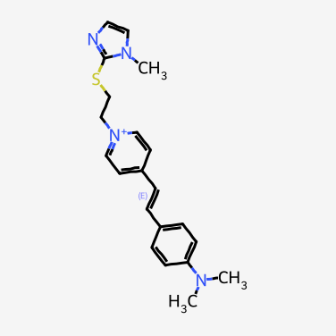 CN(C)c1ccc(/C=C/c2cc[n+](CCSc3nccn3C)cc2)cc1